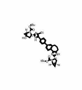 CCc1nc([C@@H]2C[C@@]3(O)C[C@H]3N2C(=O)OC(C)(C)C)[nH]c1-c1ccc(-c2ccc3c(c2)CCCc2[nH]c([C@@H]4C[C@H]5C[C@H]5N4C(=O)OC(C)(C)C)nc2-3)cc1